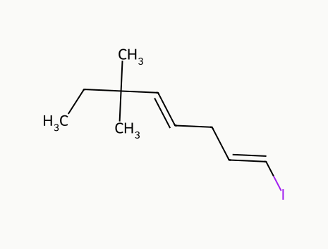 CCC(C)(C)C=CCC=CI